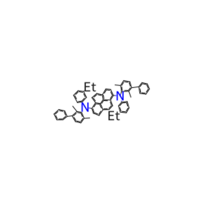 CCc1cccc(N(c2c(C)ccc(-c3ccccc3)c2C)c2ccc3ccc4c(N(c5cccc(CC)c5)c5c(C)ccc(-c6ccccc6)c5C)ccc5ccc2c3c54)c1